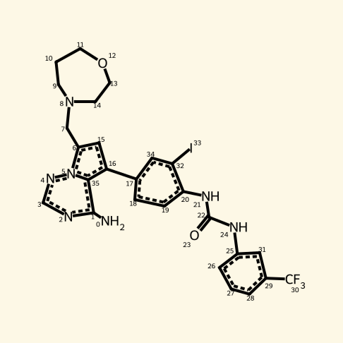 Nc1ncnn2c(CN3CCCOCC3)cc(-c3ccc(NC(=O)Nc4cccc(C(F)(F)F)c4)c(I)c3)c12